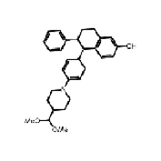 COC(OC)C1CCN(C2=CCC([C@@H]3c4ccc(O)cc4CC[C@@H]3c3ccccc3)C=C2)CC1